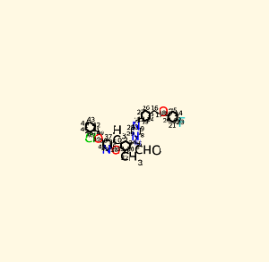 Cc1cc(/C(=C\C=O)N2CCN(Cc3ccc(CCOc4ccc(F)cc4)cc3)CC2)cc(C)c1Oc1ccc(OCc2ccccc2Cl)cn1